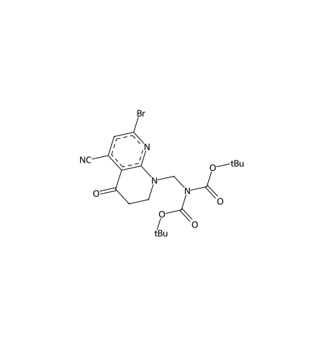 CC(C)(C)OC(=O)N(CN1CCC(=O)c2c(C#N)cc(Br)nc21)C(=O)OC(C)(C)C